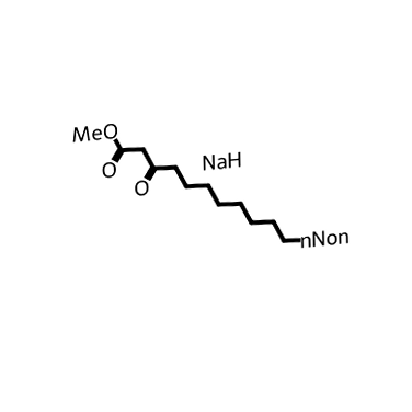 CCCCCCCCCCCCCCCCCC(=O)CC(=O)OC.[NaH]